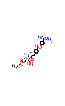 CCOC(=O)CC[C@H](NC(=O)/C(C)=C/c1ccc(C(=O)Oc2ccc(C(=N)N)cc2)cc1)C(=O)O